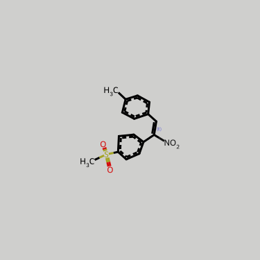 Cc1ccc(/C=C(\c2ccc(S(C)(=O)=O)cc2)[N+](=O)[O-])cc1